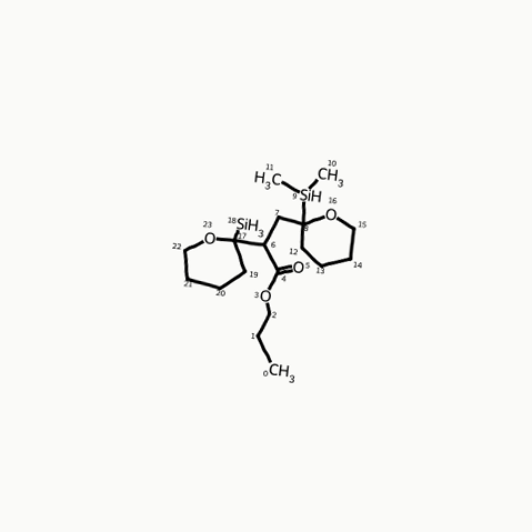 CCCOC(=O)C(CC1([SiH](C)C)CCCCO1)C1([SiH3])CCCCO1